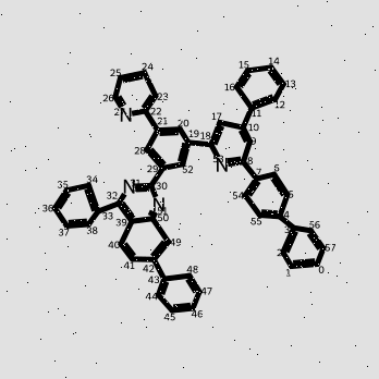 c1ccc(-c2ccc(-c3cc(-c4ccccc4)cc(-c4cc(-c5ccccn5)cc(-c5nc(-c6ccccc6)c6ccc(-c7ccccc7)cc6n5)c4)n3)cc2)cc1